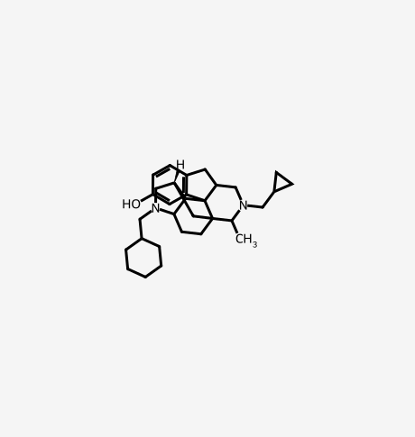 CC1N(CC2CC2)CC2Cc3ccc(O)cc3C23C2C4CCC13C[C@@H]2CN4CC1CCCCC1